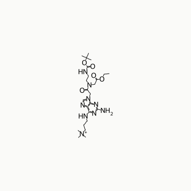 CCOC(=O)CN(CCNC(=O)OC(C)(C)C)C(=O)Cn1cnc2c(NCCC[N+](C)(C)C)nc(N)nc21